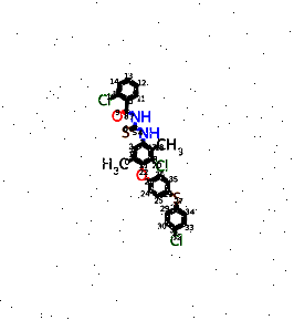 Cc1cc(NC(=S)NC(=O)c2ccccc2Cl)c(C)c(Cl)c1Oc1ccc(Sc2ccc(Cl)cc2)cc1